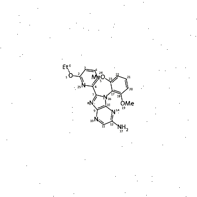 CCOc1cccc(-c2nc3ncc(N)nc3n2-c2c(OC)cccc2OC)n1